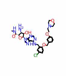 CNC(=O)[C@H]1O[C@@H](n2cnc3c(NCc4cc(Cl)ccc4OCc4cccc(OCCN5CCOCC5)c4)ncnc32)[C@H](O)[C@@H]1N